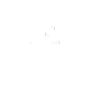 CC1CC2CC(CC(C)(C(O)CC3c4c(F)cccc4-c4cncn43)C2)C1C